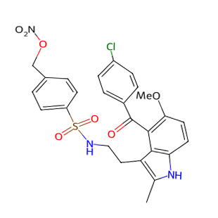 COc1ccc2[nH]c(C)c(CCNS(=O)(=O)c3ccc(CO[N+](=O)[O-])cc3)c2c1C(=O)c1ccc(Cl)cc1